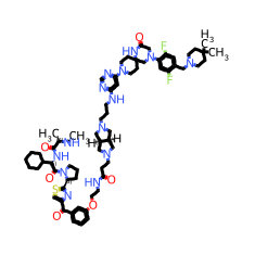 CN[C@@H](C)C(=O)N[C@H](C(=O)N1CCC[C@H]1c1nc(C(=O)c2cccc(OCCNC(=O)CCN3C[C@H]4CN(CCCNc5cc(N6CCC7(CC6)CN(c6cc(F)c(CN8CCC(C)(C)CC8)cc6F)CC(=O)N7)ncn5)C[C@H]4C3)c2)cs1)C1CCCCC1